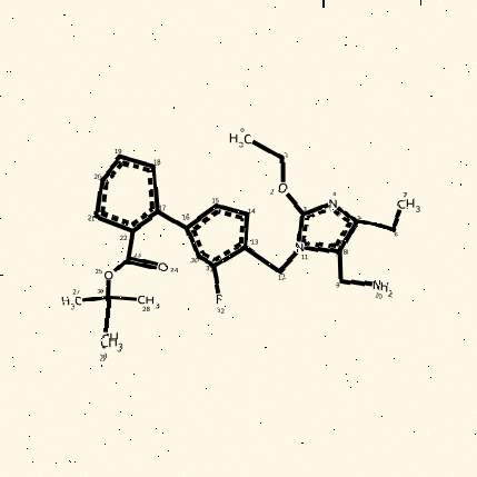 CCOc1nc(CC)c(CN)n1Cc1ccc(-c2ccccc2C(=O)OC(C)(C)C)cc1F